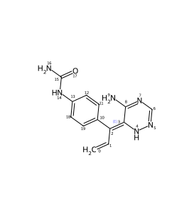 C=C/C(=C1\NN=CN=C1N)c1ccc(NC(N)=O)cc1